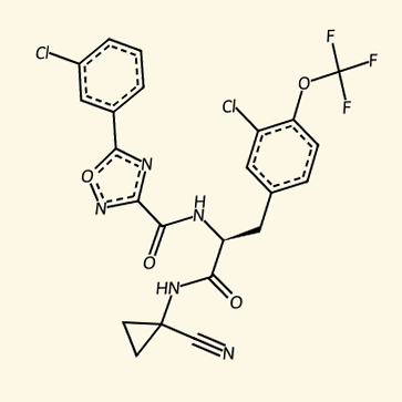 N#CC1(NC(=O)[C@H](Cc2ccc(OC(F)(F)F)c(Cl)c2)NC(=O)c2noc(-c3cccc(Cl)c3)n2)CC1